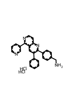 Cl.Cl.NCc1ccc(-c2nc3ccnc(-c4cccnc4)c3cc2-c2ccccc2)cc1